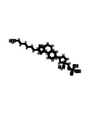 CCCCCCCc1nc2c(s1)-c1ccc([C@H]3CC[C@](N)(COP(=O)(O)O)C3)cc1CC2